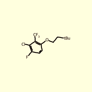 CC(C)(C)CCOc1ccc(F)c(Cl)c1C(F)(F)F